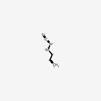 C=C[CH2][Sn][N]=C=S